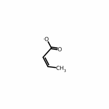 C/C=C\C([O])=O